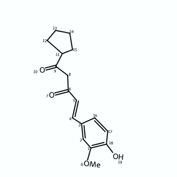 COc1cc(C=CC(=O)CC(=O)C2CCCC2)ccc1O